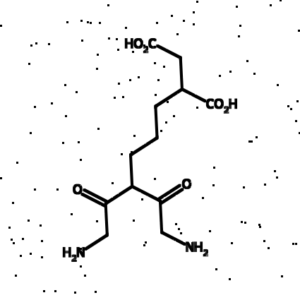 NCC(=O)C(CCCC(CC(=O)O)C(=O)O)C(=O)CN